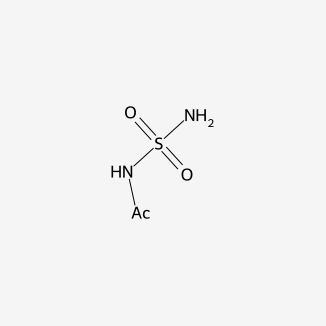 CC(=O)NS(N)(=O)=O